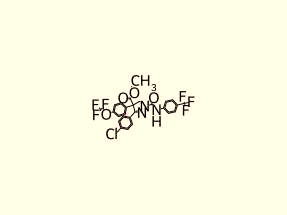 CCOC(=O)C1(c2ccc(OC(F)(F)F)cc2)CN(C(=O)Nc2ccc(C(F)(F)F)cc2)N=C1c1ccc(Cl)cc1